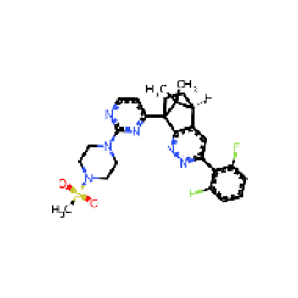 CC1(C)[C@H]2CCC1(c1ccnc(N3CCN(S(C)(=O)=O)CC3)n1)c1nnc(-c3c(F)cccc3F)cc12